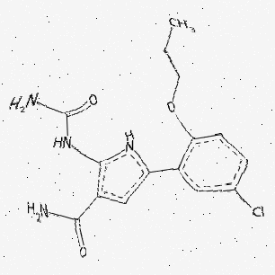 CCCOc1ccc(Cl)cc1-c1cc(C(N)=O)c(NC(N)=O)[nH]1